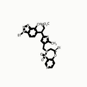 CC[C@@H]1CN(Cc2cc(C(CC(=O)O)c3ccc4c(nnn4CC)c3C)sc2C)S(=O)(=O)c2cnccc2O1